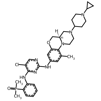 Cc1cc(Nc2ncc(Cl)c(Nc3ccccc3P(C)(C)=O)n2)cc2c1N1CCN(C3CCN(C4CC4)CC3)C[C@@H]1CO2